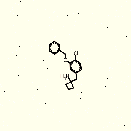 NC1(Cc2ccc(Cl)c(OCc3ccccc3)c2)CCC1